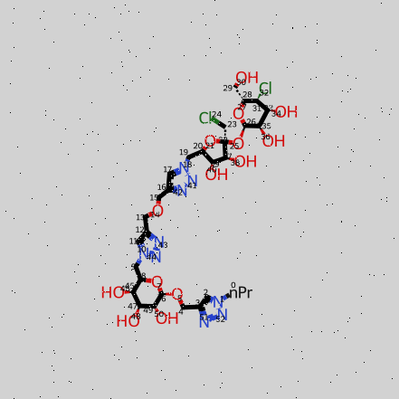 CCCn1cc(CO[C@@H]2OC(Cn3cc(COCc4cn(CC5O[C@@](CCl)(O[C@H]6O[C@H](CO)[C@H](Cl)[C@H](O)[C@H]6O)[C@@H](O)[C@H]5O)nn4)nn3)[C@H](O)[C@H](O)[C@@H]2O)nn1